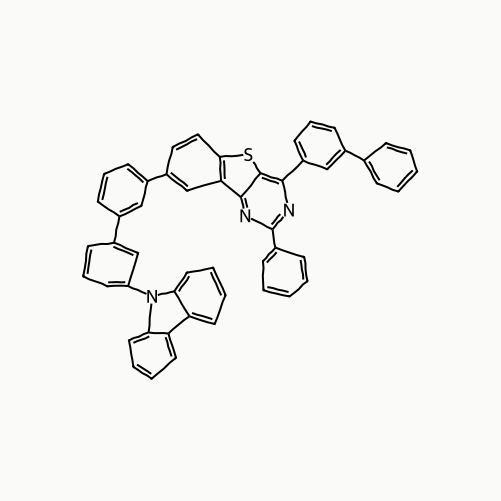 c1ccc(-c2cccc(-c3nc(-c4ccccc4)nc4c3sc3ccc(-c5cccc(-c6cccc(-n7c8ccccc8c8ccccc87)c6)c5)cc34)c2)cc1